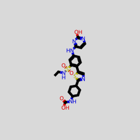 CCNS(=O)(=O)c1cc(Nc2ccnc(O)n2)ccc1-c1cnc(C2CCC(NC(=O)O)CC2)s1